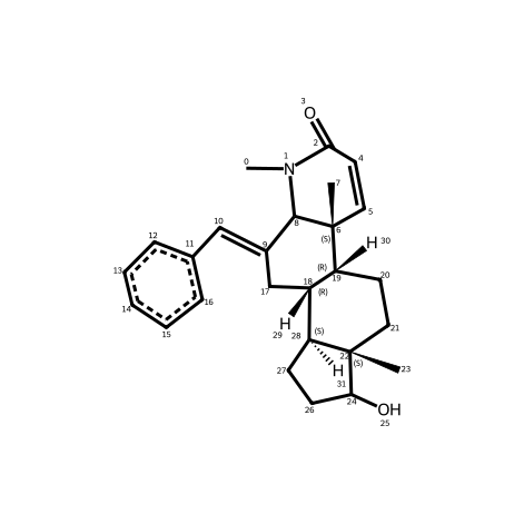 CN1C(=O)C=C[C@@]2(C)C1C(=Cc1ccccc1)C[C@@H]1[C@H]2CC[C@]2(C)C(O)CC[C@@H]12